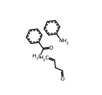 C=CCC=O.CC(=O)c1ccccc1.Nc1ccccc1